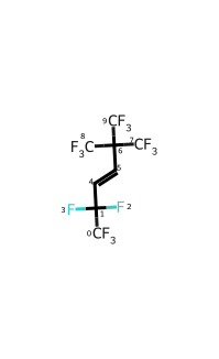 FC(F)(F)C(F)(F)/C=C/C(C(F)(F)F)(C(F)(F)F)C(F)(F)F